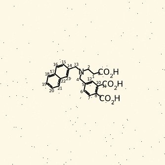 O=C(O)CCN(Cc1ccc(C(=O)O)c(C(=O)O)c1)Cc1ccc2ccccc2c1